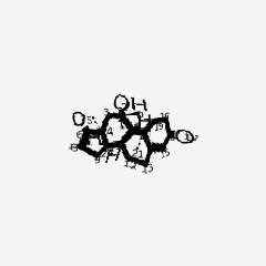 C[C@]1(O)C[C@]2(C)C(=O)CC[C@H]2[C@@H]2CCC3=CC(=O)CC[C@]3(C)[C@H]21